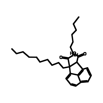 CCCCCCCCCCC1(C(=O)NCCCCCC)c2cccc3cccc(c23)C1C(=O)O